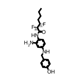 CCCC[C@H](F)[C@H](F)C(=O)Nc1ccc(NCc2ccc(O)cc2)cc1N